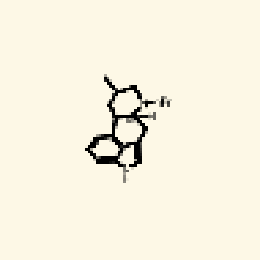 CCCN1CC(C)CC2c3cccc4[nH]cc(c34)C[C@H]21